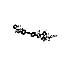 COC(=O)N[C@H](C(=O)N1C[C@@H](C)C[C@H]1c1ncc(-c2ccc(C#Cc3ccc(-c4cnc([C@@H]5C[C@H](C)CN5)[nH]4)cc3)cc2)[nH]1)C(C)C